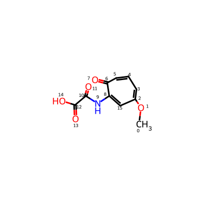 COc1cccc(=O)c(NC(=O)C(=O)O)c1